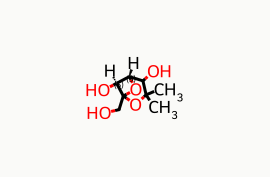 CC1(C)OC2(CO)O[C@@H](C1O)[C@@H]2O